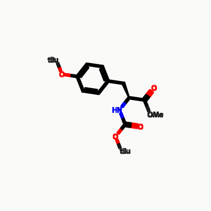 COC(=O)[C@H](Cc1ccc(OC(C)(C)C)cc1)NC(=O)OC(C)(C)C